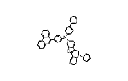 c1ccc(-c2ccc(N(c3ccc(-c4cc5ccccc5c5ccccc45)cc3)c3ccc4c(c3)oc3c5ccccc5c(-c5ccccc5)cc43)cc2)cc1